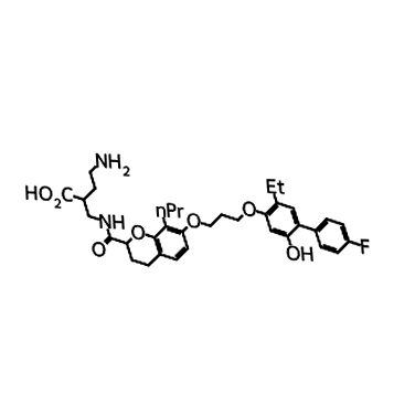 CCCc1c(OCCCOc2cc(O)c(-c3ccc(F)cc3)cc2CC)ccc2c1OC(C(=O)NCC(CCN)C(=O)O)CC2